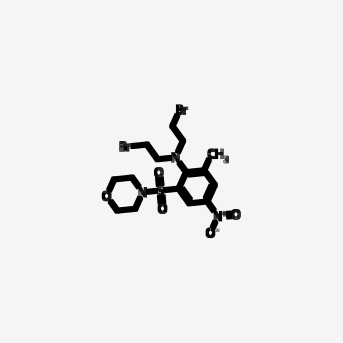 Cc1cc([N+](=O)[O-])cc(S(=O)(=O)N2CCOCC2)c1N(CCBr)CCBr